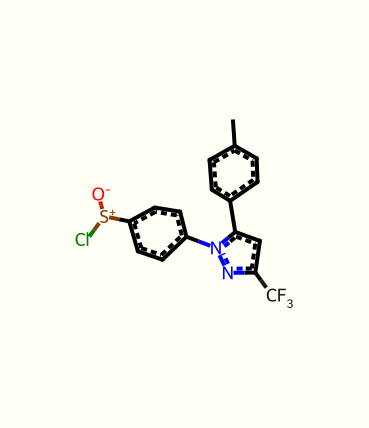 Cc1ccc(-c2cc(C(F)(F)F)nn2-c2ccc([S+]([O-])Cl)cc2)cc1